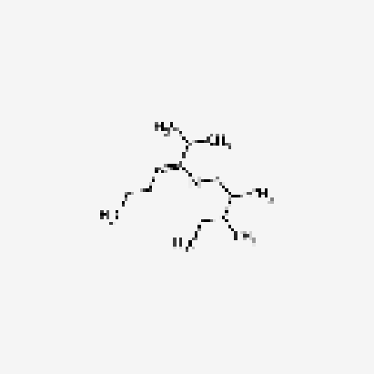 CCC/C=C(\NCC(C)C(C)CC)C(C)C